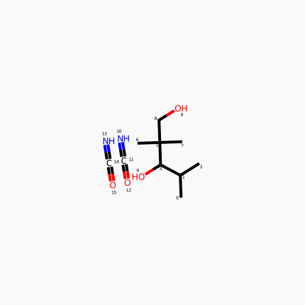 CC(C)C(O)C(C)(C)CO.N=C=O.N=C=O